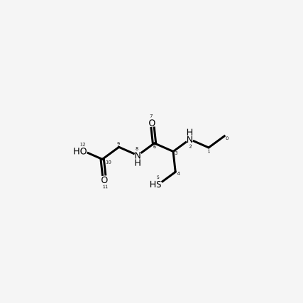 CCNC(CS)C(=O)NCC(=O)O